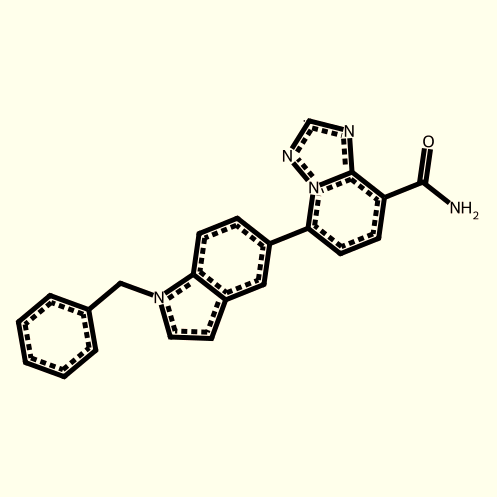 NC(=O)c1ccc(-c2ccc3c(ccn3Cc3ccccc3)c2)n2n[c]nc12